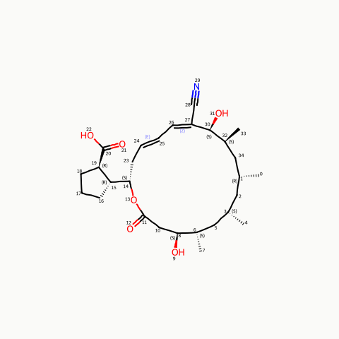 C[C@@H]1C[C@H](C)C[C@H](C)[C@@H](O)CC(=O)O[C@H]([C@@H]2CCC[C@H]2C(=O)O)C/C=C/C=C(/C#N)[C@@H](O)[C@@H](C)C1